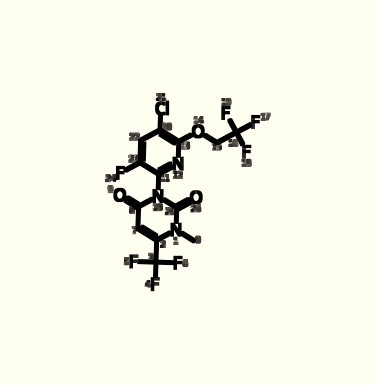 Cn1c(C(F)(F)F)cc(=O)n(-c2nc(OCC(F)(F)F)c(Cl)cc2F)c1=O